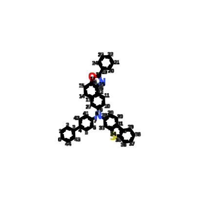 c1ccc(-c2ccc(N(c3ccc4c(ccc5oc(-c6ccccc6)nc54)c3)c3ccc4c(c3)sc3ccccc34)cc2)cc1